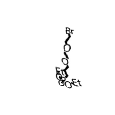 CCOP(=O)(CCCOCCOCCBr)OCC